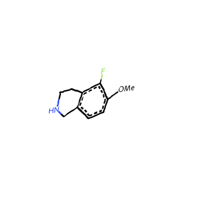 COc1ccc2c(c1F)CCNC2